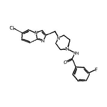 O=C(NN1CCN(Cc2cn3cc(Cl)ccc3n2)CC1)c1cccc(F)c1